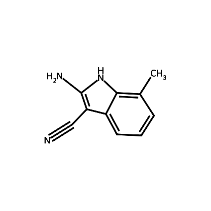 Cc1cccc2c(C#N)c(N)[nH]c12